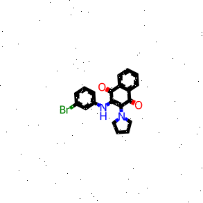 O=C1C(Nc2cccc(Br)c2)=C(N2CCCC2)C(=O)c2ccccc21